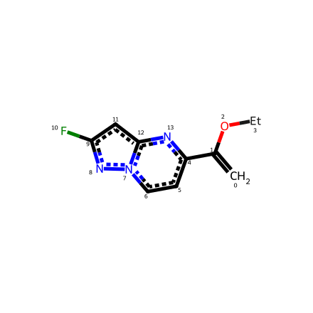 C=C(OCC)c1ccn2nc(F)cc2n1